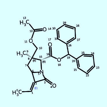 C/C=C1/C(=O)N2C1C[C@@](C)(COC(C)=O)[C@@H]2C(=O)OC(c1ccccc1)c1ccccc1